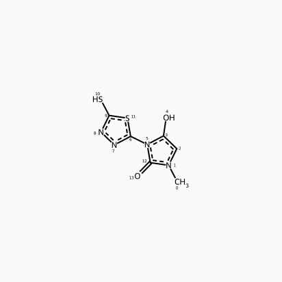 Cn1cc(O)n(-c2nnc(S)s2)c1=O